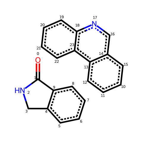 O=C1NCc2ccccc21.c1ccc2c(c1)cnc1ccccc12